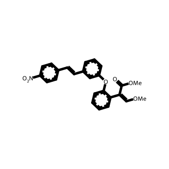 COC=C(C(=O)OC)c1ccccc1Oc1cccc(C=Cc2ccc([N+](=O)[O-])cc2)c1